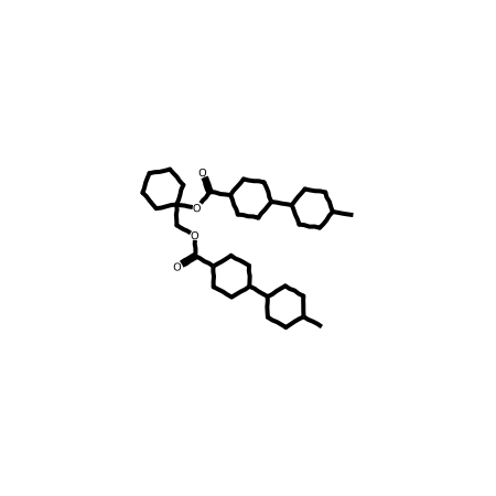 CC1CCC(C2CCC(C(=O)OCC3(OC(=O)C4CCC(C5CCC(C)CC5)CC4)CCCCC3)CC2)CC1